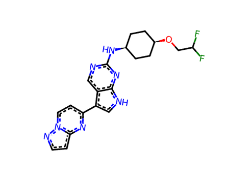 FC(F)CO[C@H]1CC[C@@H](Nc2ncc3c(-c4ccn5nccc5n4)c[nH]c3n2)CC1